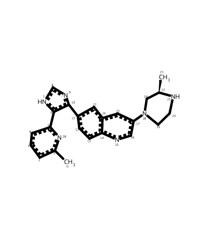 Cc1cccc(-c2[nH]cnc2-c2ccc3ncc(N4CCN[C@H](C)C4)cc3c2)n1